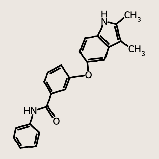 Cc1[nH]c2ccc(Oc3cccc(C(=O)Nc4ccccc4)c3)cc2c1C